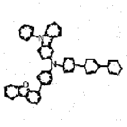 C1=CC(C2=CCC(c3ccc(N(c4ccc(-c5cccc6c5oc5ccccc56)cc4)c4ccc5c(c4)c4ccccc4n5-c4ccccc4)cc3)C=C2)=CCC1